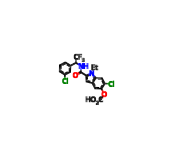 CCn1c(C(=O)NC(c2cccc(Cl)c2)C(F)(F)F)cc2cc(OC(=O)O)c(Cl)cc21